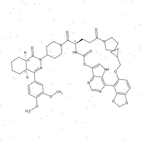 COc1ccc(C2=NN(C3CCN(C(=O)[C@@H](CCC(=O)N4CCCC4)NC(=O)Oc4c[nH]c5c(-c6c(OCC7CC7)ccc7c6OCO7)ncnc45)CC3)C(=O)[C@@H]3CCCC[C@H]23)cc1OC